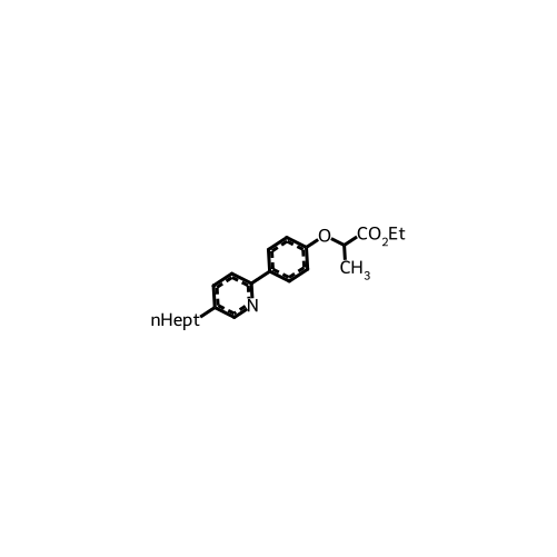 CCCCCCCc1ccc(-c2ccc(OC(C)C(=O)OCC)cc2)nc1